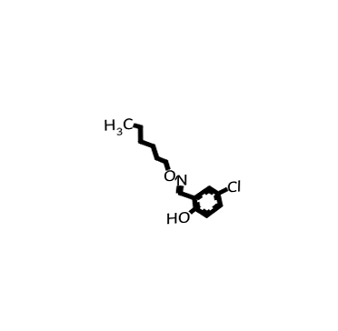 CCCCCCON=Cc1cc(Cl)ccc1O